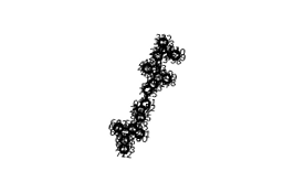 CC1(C)c2cc(-c3ccc4cc5c(cc4c3)c3ccccc3c3cc(-c4ccc6c7ccccc7n(-c7ccccc7)c6c4)c4ccccc4c35)ccc2-c2ccc(-c3cc4c5ccccc5c5cc6ccccc6cc5c4c4ccccc34)cc21